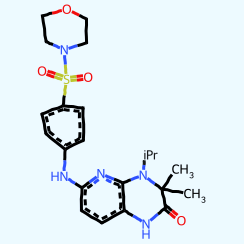 CC(C)N1c2nc(Nc3ccc(S(=O)(=O)N4CCOCC4)cc3)ccc2NC(=O)C1(C)C